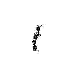 CNc1ccc(Cn2cnc3ccc(Oc4ccnc(-c5cnn(C)c5)c4)cc3c2=O)cn1